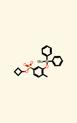 Cc1ccc(S(=O)(=O)OC2CCC2)cc1O[Si](c1ccccc1)(c1ccccc1)C(C)(C)C